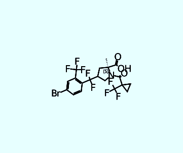 C[C@@]1(C(=O)O)CC(C(F)(F)c2ccc(Br)cc2C(F)(F)F)CN1C(=O)C1(C(F)(F)F)CC1